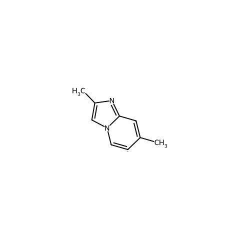 Cc1[c]cn2cc(C)nc2c1